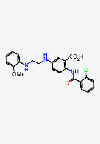 COc1ccccc1NCCNc1ccc(NC(=O)c2ccccc2Cl)c(C(=O)O)c1